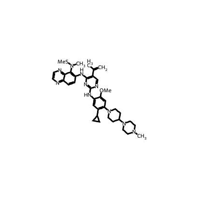 C=C(C)c1cnc(Nc2cc(C3CC3)c(N3CCC(N4CCN(C)CC4)CC3)cc2OC)nc1Nc1ccc2nccnc2c1N(C)SC